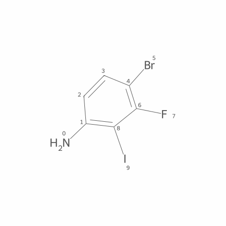 Nc1ccc(Br)c(F)c1I